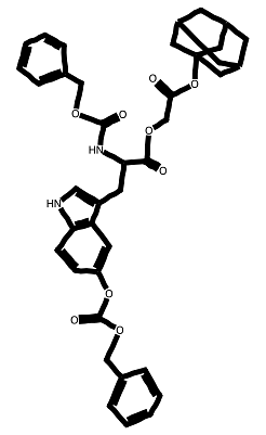 O=C(COC(=O)C(Cc1c[nH]c2ccc(OC(=O)OCc3ccccc3)cc12)NC(=O)OCc1ccccc1)OC12CC3CC(CC(C3)C1)C2